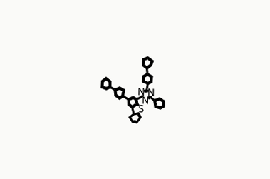 C1=CCC2C(=C1)Sc1c(-c3nc(-c4ccccc4)nc(-c4ccc(-c5ccccc5)cc4)n3)cc(-c3ccc(-c4ccccc4)cc3)cc12